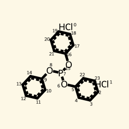 Cl.Cl.c1ccc(OP(Oc2ccccc2)Oc2ccccc2)cc1